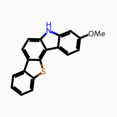 COc1ccc2c(c1)[nH]c1ccc3c4ccccc4sc3c12